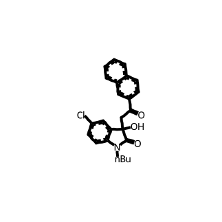 CCCCN1C(=O)C(O)(CC(=O)c2ccc3ccccc3c2)c2cc(Cl)ccc21